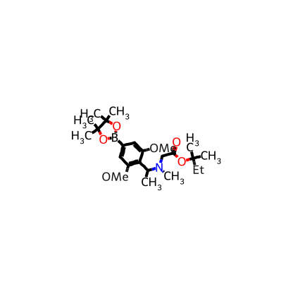 CCC(C)(C)OC(=O)CN(C)C(C)c1c(OC)cc(B2OC(C)(C)C(C)(C)O2)cc1OC